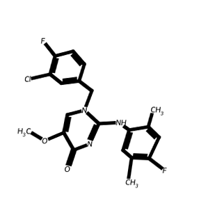 COc1cn(Cc2ccc(F)c(Cl)c2)c(Nc2cc(C)c(F)cc2C)nc1=O